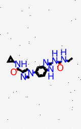 CCNC(=O)Nc1nc2cc(-n3cnc(C(=O)NC4CC4)c3)ccc2[nH]1